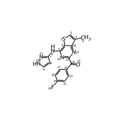 Cc1csc2c(Nc3cc[nH]n3)nc(C(=O)c3ccc(F)cc3)nc12